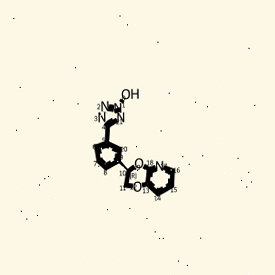 On1nnc(-c2cccc([C@@H]3COc4cccnc4O3)c2)n1